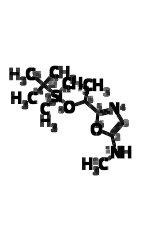 CNc1cnc(C(C)O[Si](C)(C)C(C)(C)C)o1